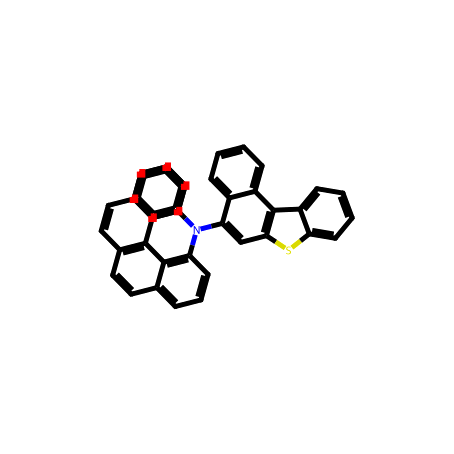 c1ccc(N(c2cc3sc4ccccc4c3c3ccccc23)c2cccc3ccc4ccc5ccccc5c4c23)cc1